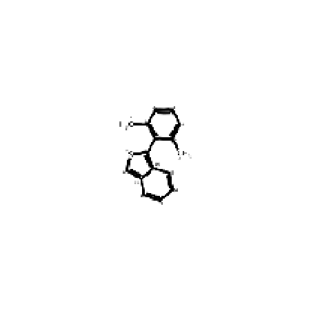 Cc1cccc(C)c1-c1scc2ccccc12